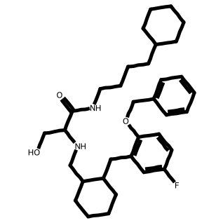 O=C(NCCCCC1CCCCC1)C(CO)NCC1CCCCC1Cc1cc(F)ccc1OCc1ccccc1